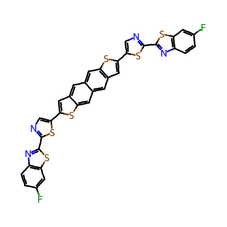 Fc1ccc2nc(-c3ncc(-c4cc5cc6cc7sc(-c8cnc(-c9nc%10ccc(F)cc%10s9)s8)cc7cc6cc5s4)s3)sc2c1